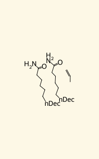 C=CC.CCCCCCCCCCCCCCCC(N)=O.CCCCCCCCCCCCCCCC(N)=O